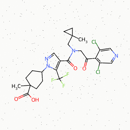 CC1(CN(CC(=O)c2c(Cl)cncc2Cl)C(=O)c2cnn(C3CCC(C)(C(=O)O)CC3)c2C(F)(F)F)CC1